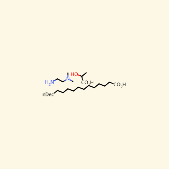 CC(O)C(=O)O.CCCCCCCCCCCCCCCCCCCCCC(=O)O.CN(C)CCN